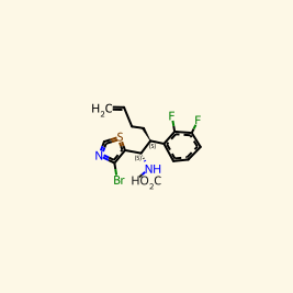 C=CCC[C@@H](c1cccc(F)c1F)[C@H](NC(=O)O)c1scnc1Br